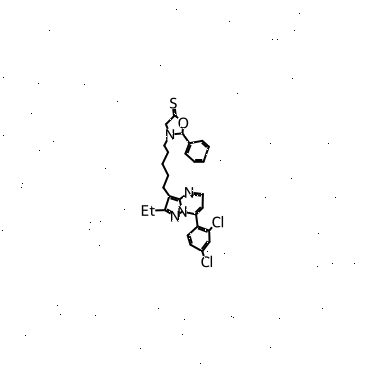 CCc1nn2c(-c3ccc(Cl)cc3Cl)ccnc2c1CCCCCN1CC(=S)OC1c1ccccc1